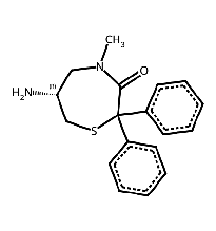 CN1C[C@@H](N)CSC(c2ccccc2)(c2ccccc2)C1=O